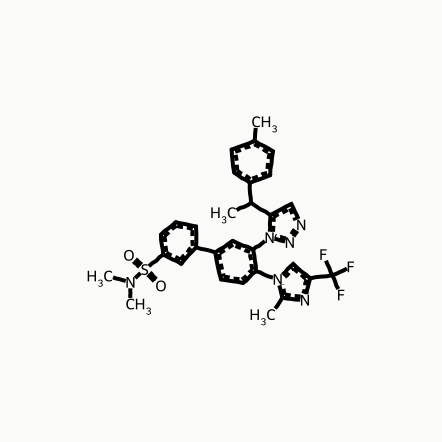 Cc1ccc(C(C)c2cnnn2-c2cc(-c3cccc(S(=O)(=O)N(C)C)c3)ccc2-n2cc(C(F)(F)F)nc2C)cc1